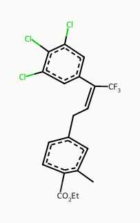 CCOC(=O)c1ccc(CC=C(c2cc(Cl)c(Cl)c(Cl)c2)C(F)(F)F)cc1C